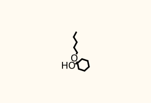 CCCCCOC1(O)CCCCC1